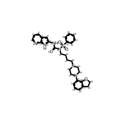 O=C(Nc1cc2cccnc2[nH]1)N(CCCCN1CCN(c2cccc3c2OCC3)CC1)S(=O)(=O)c1ccccc1